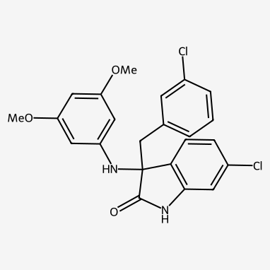 COc1cc(NC2(Cc3cccc(Cl)c3)C(=O)Nc3cc(Cl)ccc32)cc(OC)c1